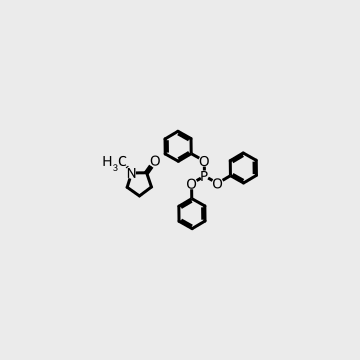 CN1CCCC1=O.c1ccc(OP(Oc2ccccc2)Oc2ccccc2)cc1